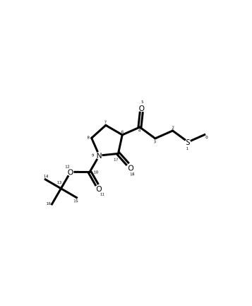 CSCCC(=O)C1CCN(C(=O)OC(C)(C)C)C1=O